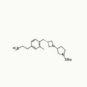 BCCc1ccc(CC2CN(C3CCN(SC)C3)C2)c(C)c1